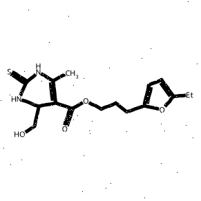 CCc1ccc(CCCOC(=O)C2=C(C)NC(=S)NC2CO)o1